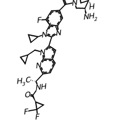 C[C@@H](NC(=O)[C@H]1CC1(F)F)c1ccc2cc(-c3nc4cc(C(=O)N5C[C@H](N)[C@@H]6CC[C@H]5C6)cc(F)c4n3C3CC3)n(CC3CC3)c2n1